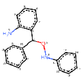 Nc1ccccc1C(ONc1ccccc1)c1ccccc1